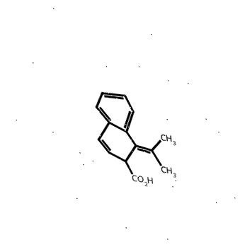 CC(C)=C1c2ccccc2C=CC1C(=O)O